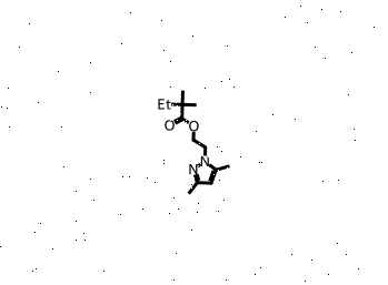 CCC(C)(C)C(=O)OCCn1nc(C)cc1C